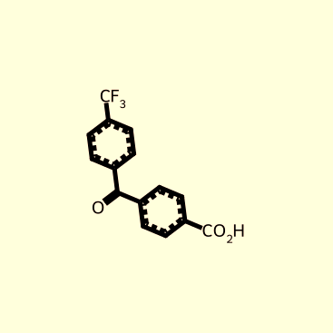 O=C(O)c1ccc(C(=O)c2ccc(C(F)(F)F)cc2)cc1